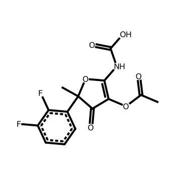 CC(=O)OC1=C(NC(=O)O)OC(C)(c2cccc(F)c2F)C1=O